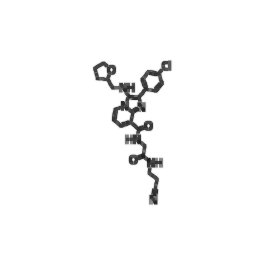 N#CCCNC(=O)CNC(=O)c1cccn2c(NCC3CCCO3)c(-c3ccc(Cl)cc3)nc12